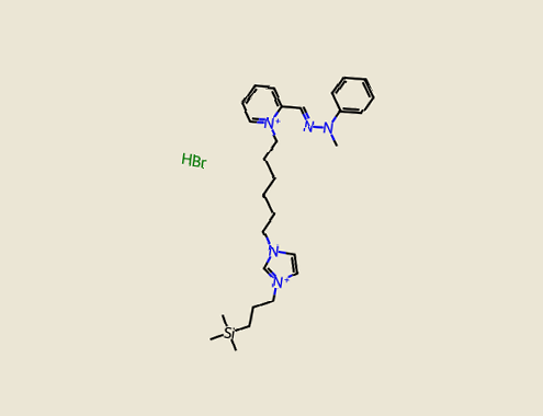 Br.CN(N=Cc1cccc[n+]1CCCCCCn1cc[n+](CCC[Si](C)(C)C)c1)c1ccccc1